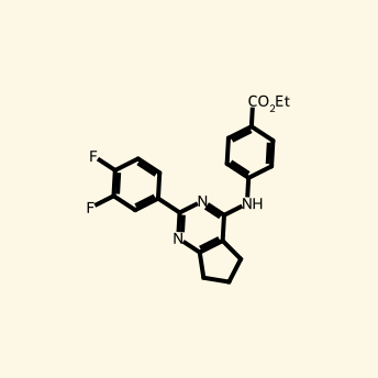 CCOC(=O)c1ccc(Nc2nc(-c3ccc(F)c(F)c3)nc3c2CCC3)cc1